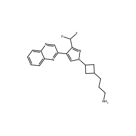 NCCCC1CC(n2cc(-c3cnc4ccccc4n3)c(C(F)F)n2)C1